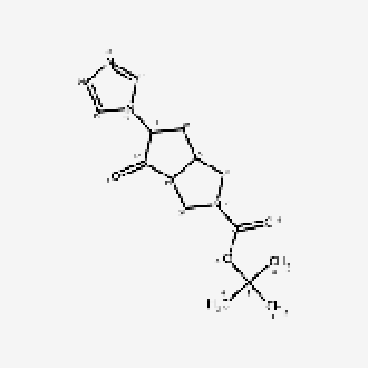 CC(C)(C)OC(=O)N1CC2CC(n3ccnc3)C(=O)C2C1